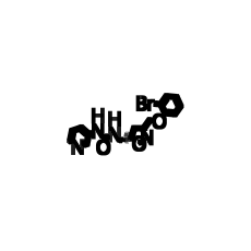 O=C(NC[C@@H]1CC(COc2ccccc2Br)=NO1)Nc1cccnc1